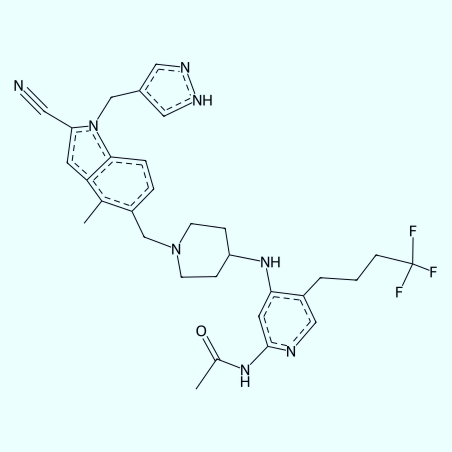 CC(=O)Nc1cc(NC2CCN(Cc3ccc4c(cc(C#N)n4Cc4cn[nH]c4)c3C)CC2)c(CCCC(F)(F)F)cn1